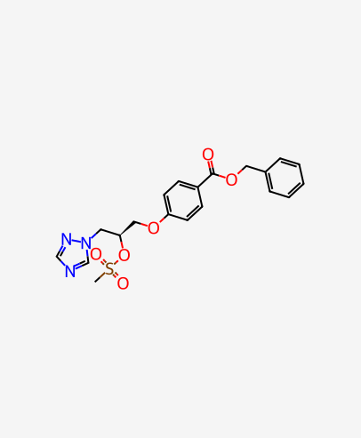 CS(=O)(=O)O[C@H](COc1ccc(C(=O)OCc2ccccc2)cc1)Cn1cncn1